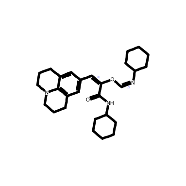 O=C(NC1CCCCC1)/C(=C\c1cc2c3c(c1)CCCN3CCC2)O/C=N\C1CCCCC1